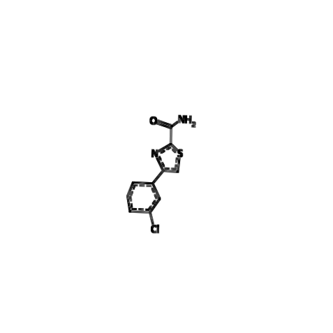 NC(=O)c1nc(-c2cccc(Cl)c2)cs1